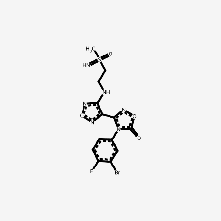 CS(=N)(=O)CCNc1nonc1-c1noc(=O)n1-c1ccc(F)c(Br)c1